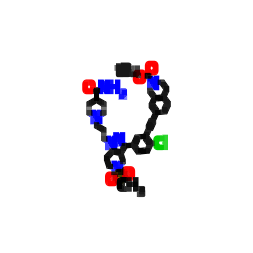 CC(C)(C)OC(=O)N1CCc2ccc(C#Cc3cc(-c4nn(CCCN5CCC(C(N)=O)CC5)c5c4CN(S(C)(=O)=O)CC5)ccc3Cl)cc2C1